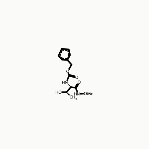 CONC(=O)[C@@H](NC(=O)OCc1ccccc1)[C@@H](C)O